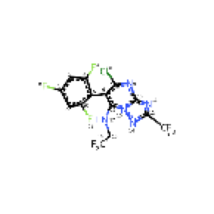 Fc1cc(F)c(-c2c(Cl)nc3nc(C(F)(F)F)nn3c2NCC(F)(F)F)c(F)c1